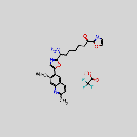 COc1cc2nc(C)ccc2cc1-c1cnc(C(N)CCCCCC(=O)c2ncco2)o1.O=C(O)C(F)(F)F